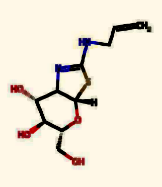 C=CCNC1=NC2[C@@H](O)[C@H](O)[C@@H](CO)O[C@H]2S1